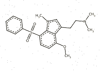 COc1ccc(S(=O)(=O)c2ccccc2)c2c1c(CCN(C)C)cn2C